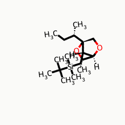 CC[C@H](C)[C@@]12CO[C@@H]([C@H](C)O1)[C@@H]2C[Si](C)(C)C(C)(C)C